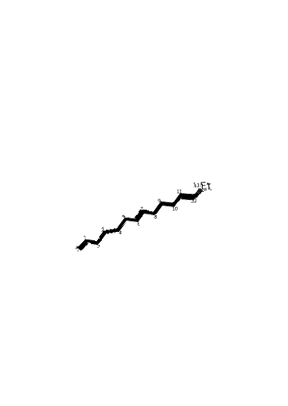 [CH]=CCCCCC=CCCCC=CCC